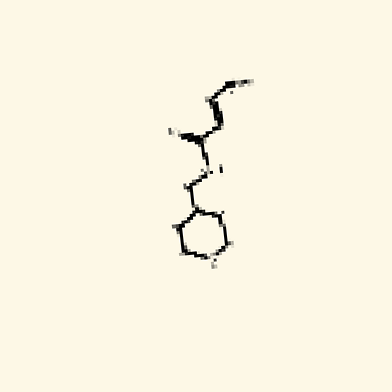 CCCCCCC=CC(=O)NCC1CCSCC1